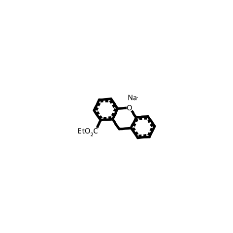 CCOC(=O)c1cccc2c1Cc1ccccc1O2.[Na]